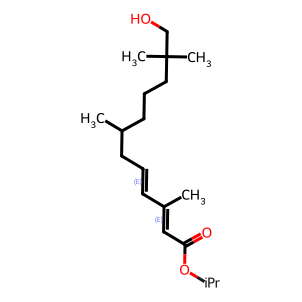 CC(/C=C/CC(C)CCCC(C)(C)CO)=C\C(=O)OC(C)C